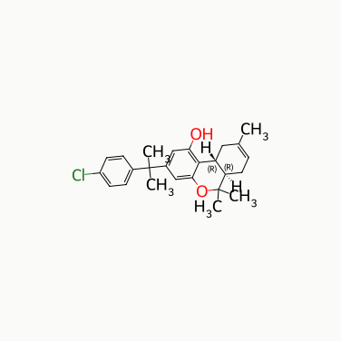 CC1=CC[C@@H]2[C@@H](C1)c1c(O)cc(C(C)(C)c3ccc(Cl)cc3)cc1OC2(C)C